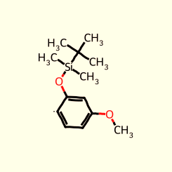 COc1cc[c]c(O[Si](C)(C)C(C)(C)C)c1